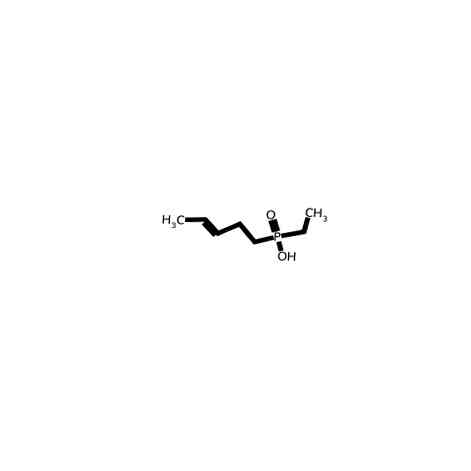 CC=CCCP(=O)(O)CC